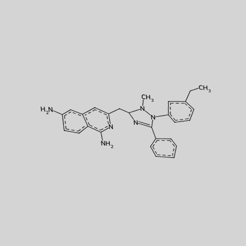 CCc1cccc(N2C(c3ccccc3)=NC(Cc3cc4cc(N)ccc4c(N)n3)N2C)c1